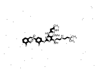 CCCN(CCNCCN(C)C)c1nc(Sc2ccc(S(=O)(=O)Cc3cccc(F)c3F)cc2F)nc(Nc2cc(C)[nH]n2)c1OC